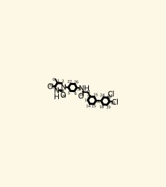 Cc1cn(-c2ccc(NC(=O)Cc3cccc(-c4ccc(Cl)c(Cl)c4)c3)cc2)c(=O)[nH]c1=O